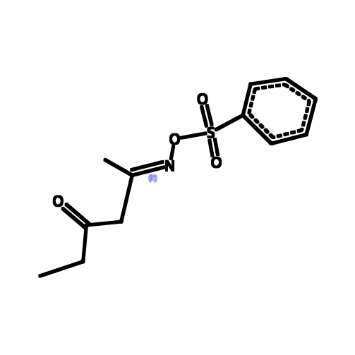 CCC(=O)C/C(C)=N/OS(=O)(=O)c1ccccc1